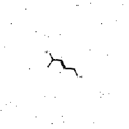 CCCC(C)/C=C/CC=O